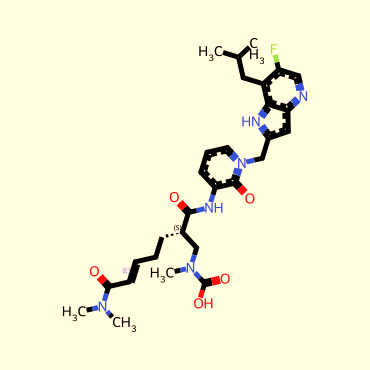 CC(C)Cc1c(F)cnc2cc(Cn3cccc(NC(=O)[C@@H](CC/C=C/C(=O)N(C)C)CN(C)C(=O)O)c3=O)[nH]c12